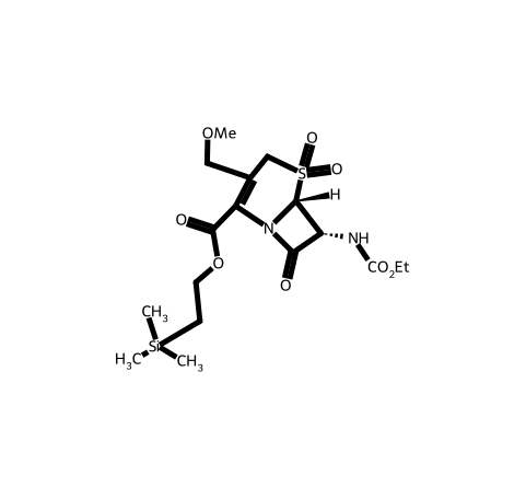 CCOC(=O)N[C@@H]1C(=O)N2C(C(=O)OCC[Si](C)(C)C)=C(COC)CS(=O)(=O)[C@H]12